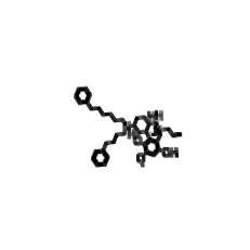 C=CCN1CC[C@]23c4c5c(O)cc(OC)c4O[C@H]2[C@@H](N(CCCCCCc2ccccc2)CCCCc2ccccc2)CC[C@H]3[C@H]1C5